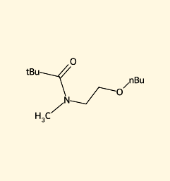 CCCCOCCN(C)C(=O)C(C)(C)C